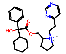 C[N@+]1(CCc2ccncn2)CCCC1COC(=O)C(O)(c1ccccc1)C1CCCCC1